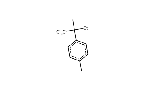 CCC(C)(c1ccc(C)cc1)C(Cl)(Cl)Cl